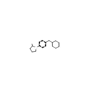 CC1CCCN1c1ccc(CC2CCCCC2)cc1